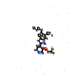 CC=C/C(=C\C1=C(C)CC(c2ccncc2OCC(F)F)=N1)C(F)(F)F